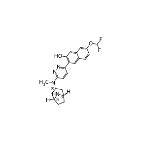 CN(c1ccc(-c2cc3ccc(OC(F)F)cc3cc2O)nn1)[C@H]1C[C@H]2CC[C@@H](C1)N2